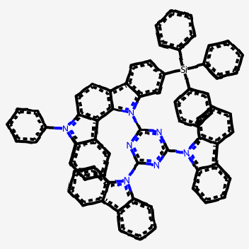 c1ccc(-n2c3ccccc3c3c2ccc2c4ccc([Si](c5ccccc5)(c5ccccc5)c5ccccc5)cc4n(-c4nc(-n5c6ccccc6c6ccccc65)nc(-n5c6ccccc6c6ccccc65)n4)c23)cc1